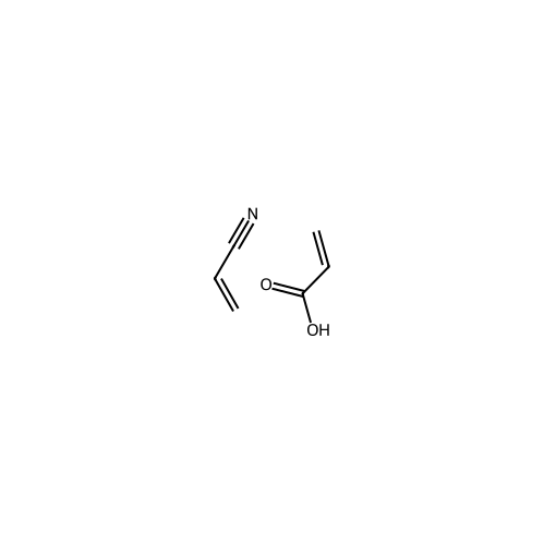 C=CC#N.C=CC(=O)O